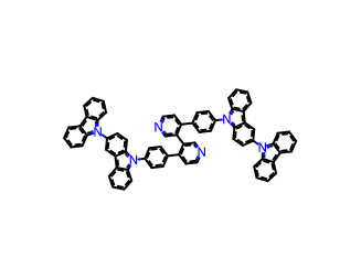 c1ccc2c(c1)c1ccccc1n2-c1ccc2c(c1)c1ccccc1n2-c1ccc(-c2ccncc2-c2cnccc2-c2ccc(-n3c4ccccc4c4cc(-n5c6ccccc6c6ccccc65)ccc43)cc2)cc1